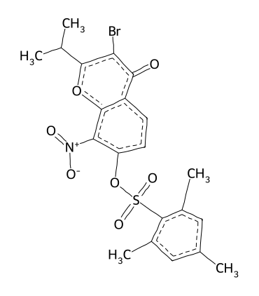 Cc1cc(C)c(S(=O)(=O)Oc2ccc3c(=O)c(Br)c(C(C)C)oc3c2[N+](=O)[O-])c(C)c1